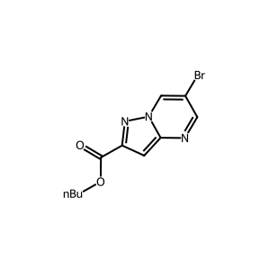 CCCCOC(=O)c1cc2ncc(Br)cn2n1